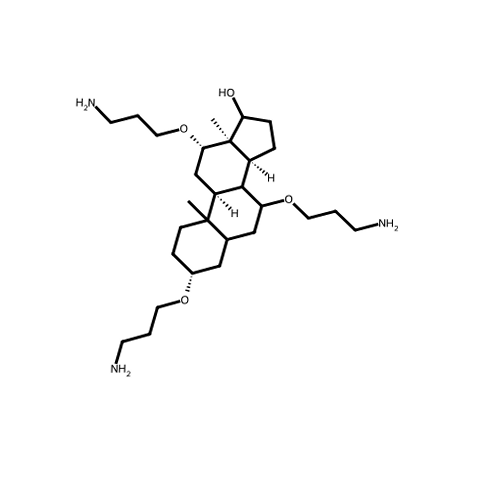 CC12CC[C@@H](OCCCN)CC1CC(OCCCN)C1[C@@H]2C[C@H](OCCCN)[C@@]2(C)C(O)CC[C@@H]12